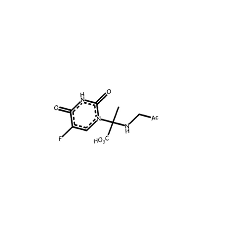 CC(=O)CNC(C)(C(=O)O)n1cc(F)c(=O)[nH]c1=O